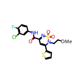 COCCN1C(c2cccs2)=CC(C(=O)Nc2ccc(F)c(Cl)c2)=NS1(=O)=O